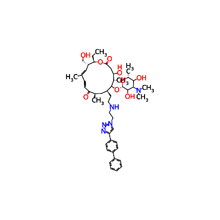 CC[C@H]1OC(=O)C[C@@H](O)[C@H](C)[C@@H](O[C@@H]2O[C@H](C)[C@@H](O)C(N(C)C)C2O)[C@@H](CCNCCn2cc(-c3ccc(-c4ccccc4)cc3)nn2)C[C@@H](C)C(=O)/C=C/C(C)=C/[C@@H]1CO